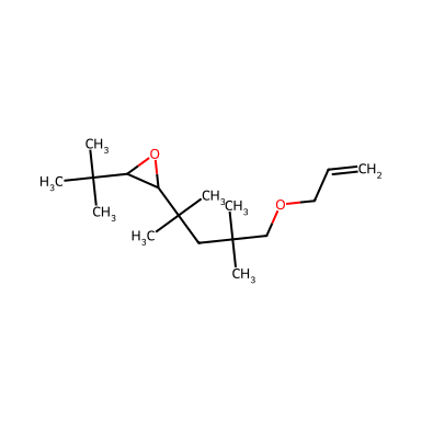 C=CCOCC(C)(C)CC(C)(C)C1OC1C(C)(C)C